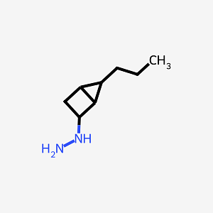 CCCC1C2CC(NN)C12